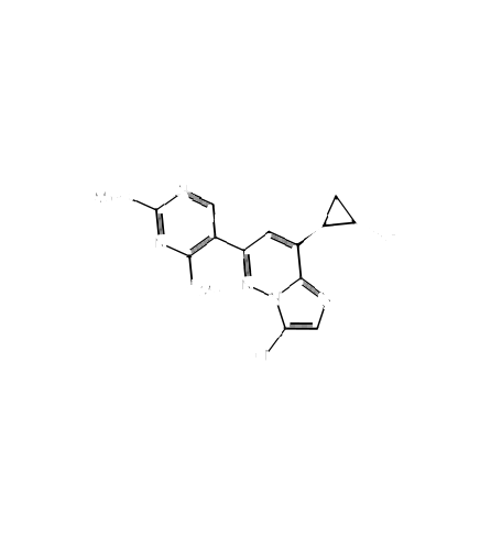 COc1ncc(-c2cc([C@H]3C[C@@H]3C(F)(F)F)c3ncc(Cl)n3n2)c(OC)n1